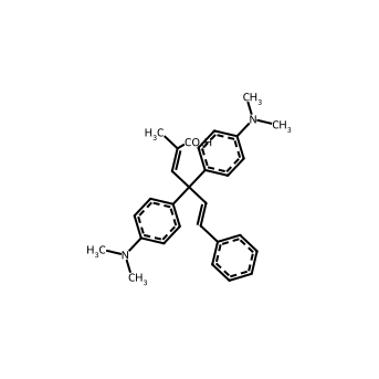 CC(=CC(C=Cc1ccccc1)(c1ccc(N(C)C)cc1)c1ccc(N(C)C)cc1)C(=O)O